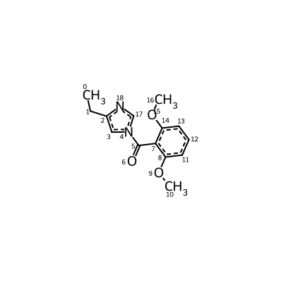 CCc1cn(C(=O)c2c(OC)cccc2OC)cn1